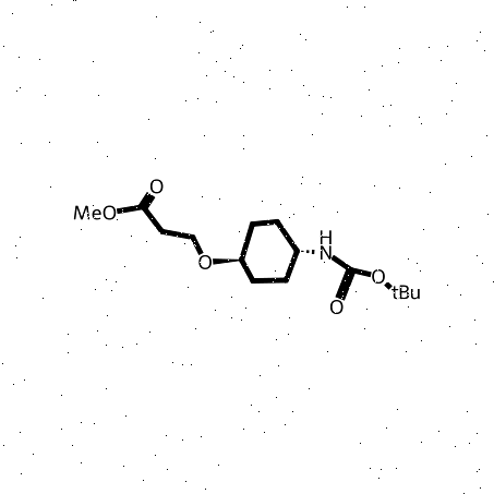 COC(=O)CCO[C@H]1CC[C@H](NC(=O)OC(C)(C)C)CC1